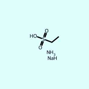 CCS(=O)(=O)O.N.[NaH]